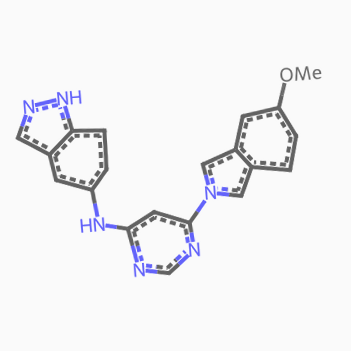 COc1ccc2cn(-c3cc(Nc4ccc5[nH]ncc5c4)ncn3)cc2c1